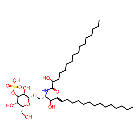 CCCCCCCCCCCCC/C=C/[C@@H](O)[C@H](CO[C@@H]1O[C@H](CO)[C@H](O)C(OS(=O)(=O)O)C1O)NC(=O)C(O)CCCCCCCCCCCCCC